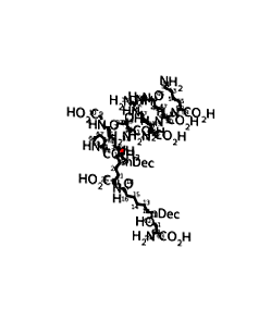 CCCCCCCCCCCCCCCC(=O)NCC(=O)O.CCCCCCCCCCCCCCCC(=O)N[C@@H](CCCCN)C(=O)O.C[C@@H](O)[C@H](N)C(=O)O.N=C(N)NCCC[C@H](N)C(=O)O.NC(=O)CC[C@H](N)C(=O)O.NCCCC[C@H](N)C(=O)O.N[C@@H](CO)C(=O)O.O=C(O)[C@@H]1CCCN1